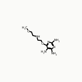 COCCNCCOc1nc(N)nc(N)c1N